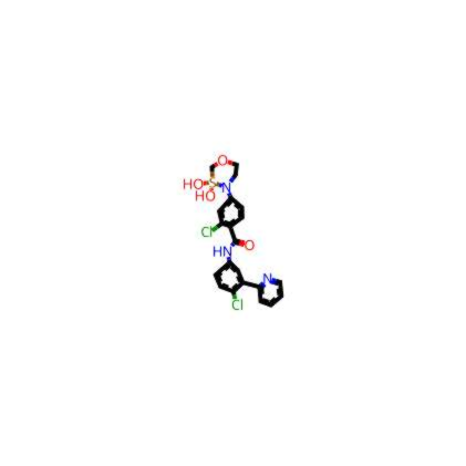 O=C(Nc1ccc(Cl)c(-c2ccccn2)c1)c1ccc(N2CCOCS2(O)O)cc1Cl